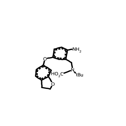 CC(C)(C)N(Cc1cc(Oc2ccc3c(c2)OCC3)ccc1N)C(=O)O